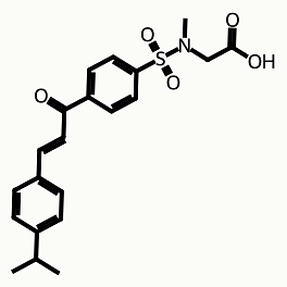 CC(C)c1ccc(/C=C/C(=O)c2ccc(S(=O)(=O)N(C)CC(=O)O)cc2)cc1